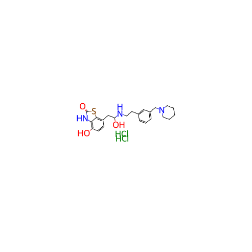 Cl.Cl.O=c1[nH]c2c(O)ccc(CC(O)NCCc3cccc(CN4CCCCC4)c3)c2s1